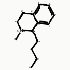 CCCCC1c2ccccc2CCN1C